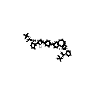 CC(C)(C)OC(=O)NC1CCCC1c1ncc(-c2ccc(-c3ccc4c(c3)CCCc3nc([C@@H]5CCCN5C(=O)OC(C)(C)C)[nH]c3-4)cc2)[nH]1